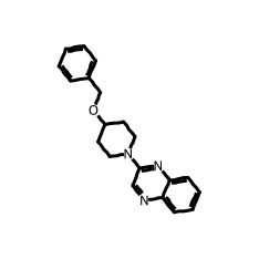 c1ccc(COC2CCN(c3cnc4ccccc4n3)CC2)cc1